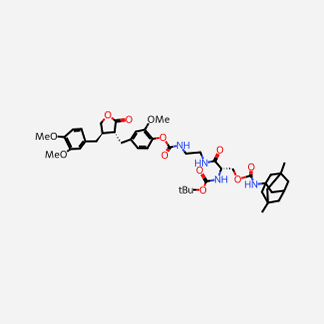 COc1ccc(C[C@H]2COC(=O)[C@@H]2Cc2ccc(OC(=O)NCCNC(=O)[C@H](COC(=O)NC34CC5CC(C)(CC(C)(C5)C3)C4)NC(=O)OC(C)(C)C)c(OC)c2)cc1OC